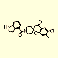 Cc1cc2c(cc1Cl)C(=O)CC1(CCN(C(=O)c3cccc4[nH]ncc34)CC1)O2